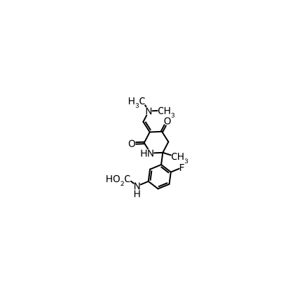 CN(C)C=C1C(=O)CC(C)(c2cc(NC(=O)O)ccc2F)NC1=O